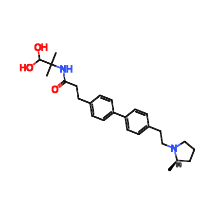 C[C@@H]1CCCN1CCc1ccc(-c2ccc(CCC(=O)NC(C)(C)C(O)O)cc2)cc1